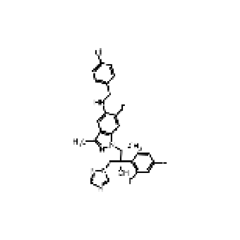 Cc1nn([C@H](C)[C@](O)(Cn2cncn2)c2ccc(F)cc2F)c2cc(F)c(NCc3ccc(Cl)cc3)cc12